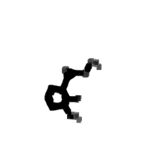 COC1OC1c1cccc(N)c1F